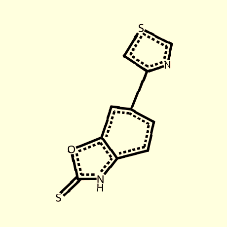 S=c1[nH]c2ccc(-c3cscn3)cc2o1